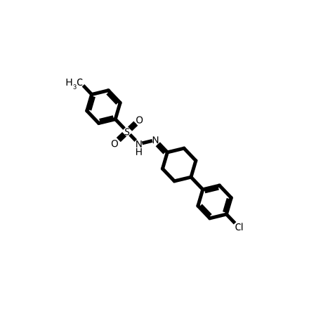 Cc1ccc(S(=O)(=O)NN=C2CCC(c3ccc(Cl)cc3)CC2)cc1